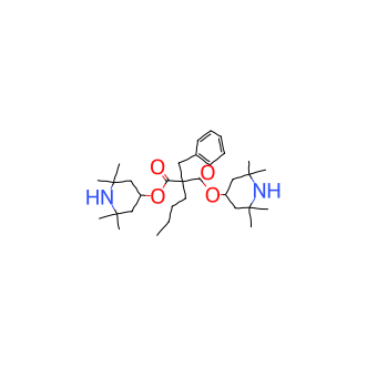 CCCCC(Cc1ccccc1)(C(=O)OC1CC(C)(C)NC(C)(C)C1)C(=O)OC1CC(C)(C)NC(C)(C)C1